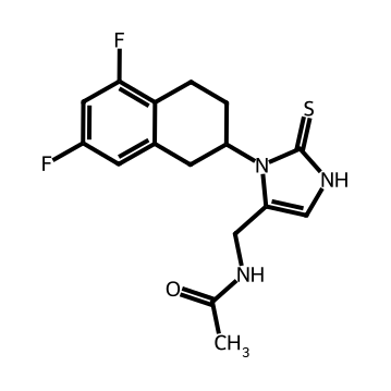 CC(=O)NCc1c[nH]c(=S)n1C1CCc2c(F)cc(F)cc2C1